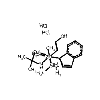 C[SiH](C)[Zr]([CH3])(=[SiH2])([CH2]CO)([NH]C(C)(C)C)[CH]1C=Cc2ccccc21.Cl.Cl